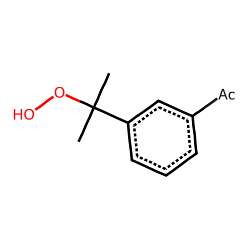 CC(=O)c1cccc(C(C)(C)OO)c1